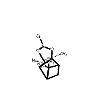 CCB1O[C@@H]2CC3CC(C3(C)C)[C@]2(C)O1